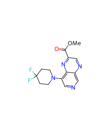 COC(=O)c1cnc2cncc(N3CCC(F)(F)CC3)c2n1